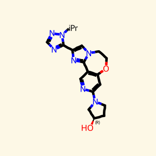 CC(C)n1ncnc1-c1cn2c(n1)-c1cnc(N3CC[C@@H](O)C3)cc1OCC2